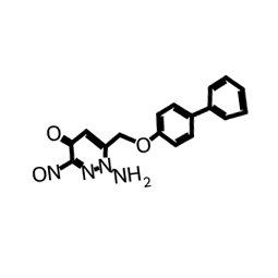 Nn1nc(N=O)c(=O)cc1COc1ccc(-c2ccccc2)cc1